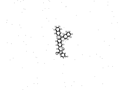 Cc1ccc2c(c1)C(=O)/C(=C\c1ccc3cc(N(c4ccc5ccccc5c4)c4ccc5ccccc5c4)ccc3c1)C2=O